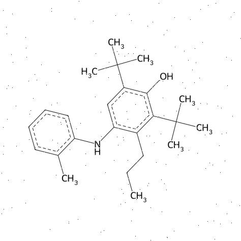 CCCc1c(Nc2ccccc2C)cc(C(C)(C)C)c(O)c1C(C)(C)C